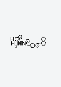 NC(CNC(=O)Cc1ccc(OCc2cccc3ccccc23)cc1)C(=O)O